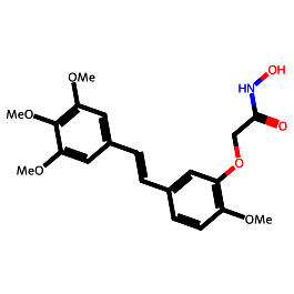 COc1ccc(C=Cc2cc(OC)c(OC)c(OC)c2)cc1OCC(=O)NO